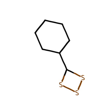 C1CCC(C2SSS2)CC1